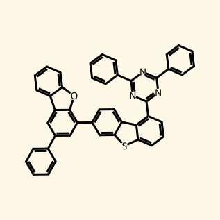 c1ccc(-c2cc(-c3ccc4c(c3)sc3cccc(-c5nc(-c6ccccc6)nc(-c6ccccc6)n5)c34)c3oc4ccccc4c3c2)cc1